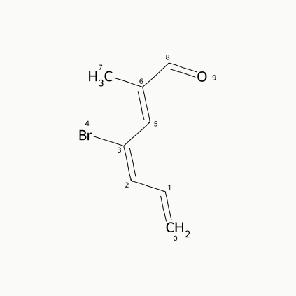 C=C/C=C(Br)\C=C(/C)C=O